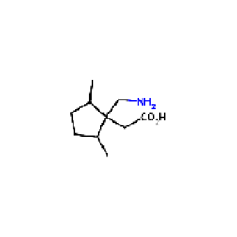 CC1CCC(C)C1(CN)CC(=O)O